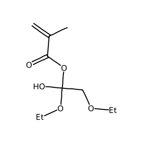 C=C(C)C(=O)OC(O)(COCC)OCC